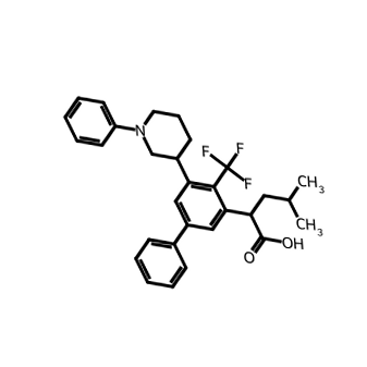 CC(C)CC(C(=O)O)c1cc(-c2ccccc2)cc(C2CCCN(c3ccccc3)C2)c1C(F)(F)F